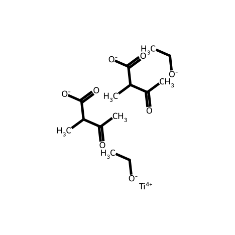 CC(=O)C(C)C(=O)[O-].CC(=O)C(C)C(=O)[O-].CC[O-].CC[O-].[Ti+4]